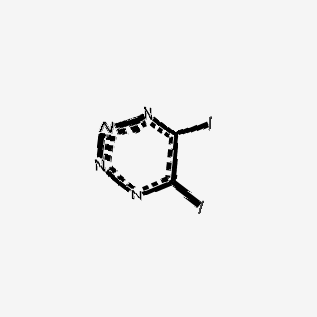 Ic1nnnnc1I